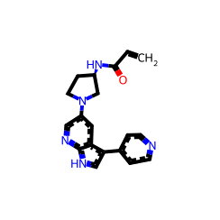 C=CC(=O)N[C@@H]1CCN(c2cnc3[nH]cc(-c4ccncc4)c3c2)C1